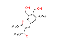 COC(=O)C(=Cc1cc(CO)c(CO)c(OC)c1)C(=O)OC